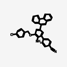 N#Cc1ccc(-c2cc(-c3cc4ccccc4c4ccccc34)cc(OCc3ccc(Cl)cc3)c2N)cc1